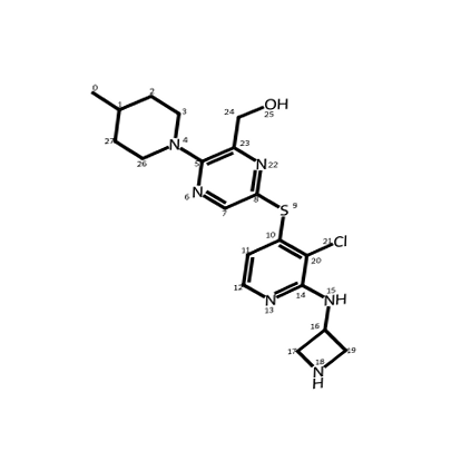 CC1CCN(c2ncc(Sc3ccnc(NC4CNC4)c3Cl)nc2CO)CC1